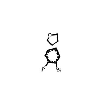 C1CCOC1.Fc1ccccc1Br